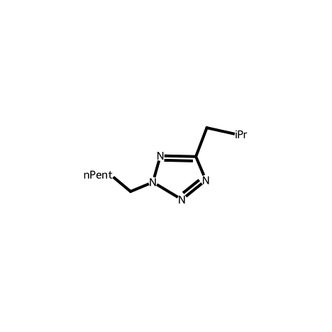 CCCCCCn1nnc(CC(C)C)n1